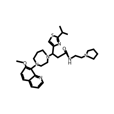 COc1ccc2cccnc2c1N1CCCN(C(CC(=O)NCCN2CCCC2)c2csc(C(C)C)n2)CC1